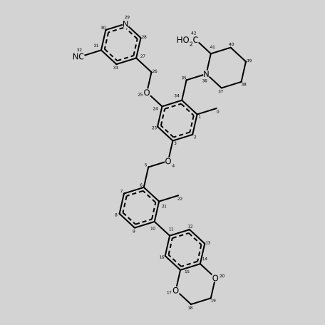 Cc1cc(OCc2cccc(-c3ccc4c(c3)OCCO4)c2C)cc(OCc2cncc(C#N)c2)c1CN1CCCCC1C(=O)O